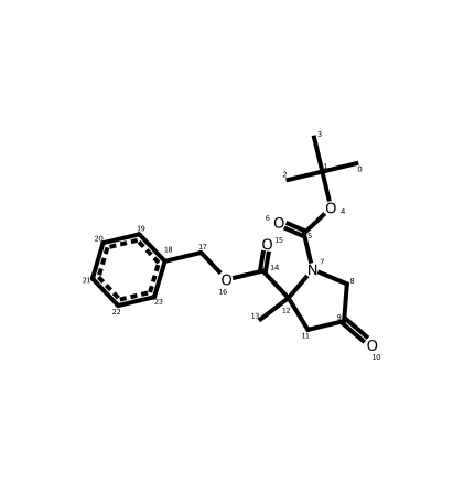 CC(C)(C)OC(=O)N1CC(=O)CC1(C)C(=O)OCc1ccccc1